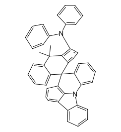 CC1(C)c2ccccc2C2(c3ccccc3-n3c4ccccc4c4cccc2c43)c2cccc(N(c3ccccc3)c3ccccc3)c21